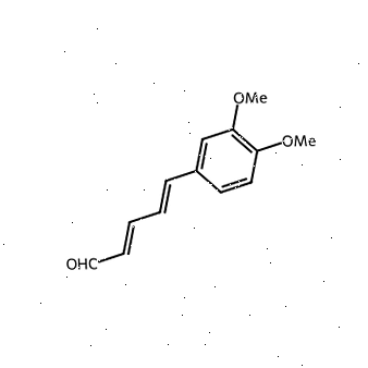 COc1ccc(/C=C/C=C/C=O)cc1OC